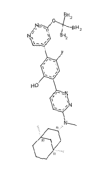 BC(B)(B)Oc1cc(-c2cc(O)c(-c3ccc(N(C)[C@H]4C[C@]5(C)CCC[C@](C)(C4)C5)nn3)cc2F)cnn1